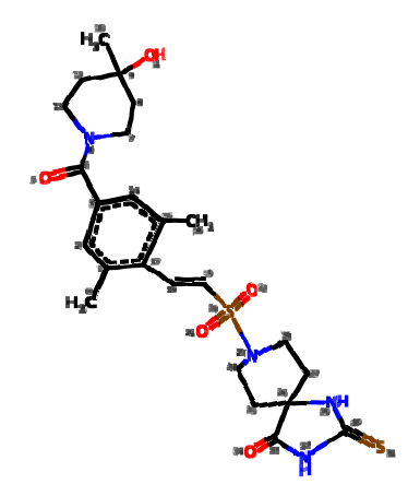 Cc1cc(C(=O)N2CCC(C)(O)CC2)cc(C)c1C=CS(=O)(=O)N1CCC2(CC1)NC(=S)NC2=O